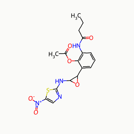 CCCC(=O)Nc1cccc(C2OC2Nc2ncc([N+](=O)[O-])s2)c1OC(C)=O